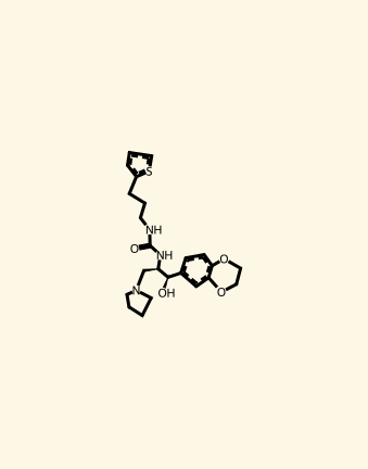 O=C(NCCCc1cccs1)N[C@H](CN1CCCC1)[C@H](O)c1ccc2c(c1)OCCO2